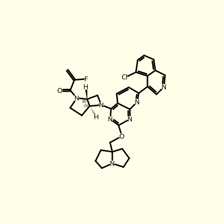 C=C(F)C(=O)N1CC[C@H]2[C@H]1CN2c1nc(OCC23CCCN2CCC3)nc2nc(-c3cncc4cccc(Cl)c34)ccc12